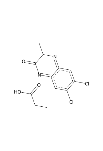 CC1N=c2cc(Cl)c(Cl)cc2=NC1=O.CCC(=O)O